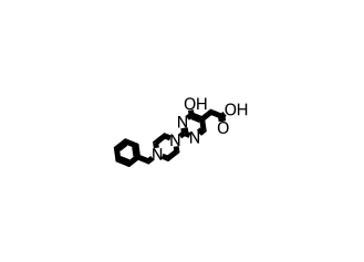 O=C(O)Cc1cnc(N2CCN(Cc3ccccc3)CC2)nc1O